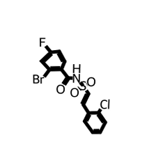 O=C(NS(=O)(=O)C=Cc1ccccc1Cl)c1ccc(F)cc1Br